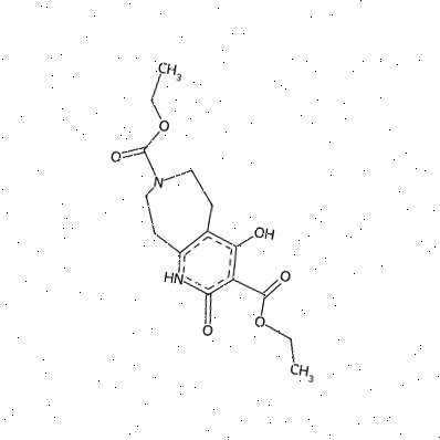 CCOC(=O)c1c(O)c2c([nH]c1=O)CCN(C(=O)OCC)CC2